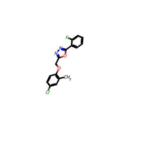 Cc1cc(Cl)ccc1OCc1nnc(-c2ccccc2F)o1